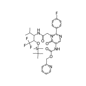 CC(C)C(NC(=O)Cn1c(-c2ccc(F)cc2)ncc(NC(=O)OCc2ccccn2)c1=O)C(O[Si](C)(C)C(C)(C)C)C(F)(F)F